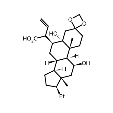 C=CC(C(=O)O)[C@@H]1C[C@@H]2[C@H]([C@@H](O)C[C@]3(C)[C@@H](CC)CC[C@@H]23)[C@@]2(C)CCC3(C[C@]12O)OCO3